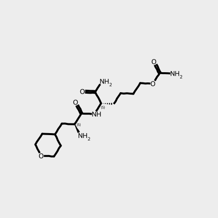 NC(=O)OCCCC[C@H](NC(=O)[C@@H](N)CC1CCOCC1)C(N)=O